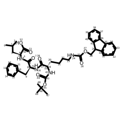 CC(C)C[C@H](NC(=O)[C@H](Cc1ccccc1)NC(=O)[C@H](CCCCNC(=O)OCC1c2ccccc2-c2ccccc21)NC(=O)OC(C)(C)C)C(=O)O